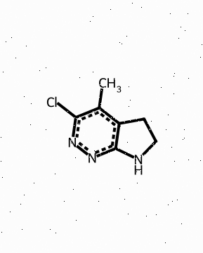 Cc1c(Cl)nnc2c1CCN2